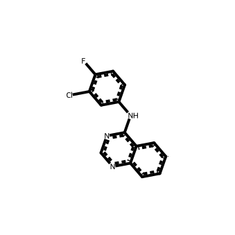 Fc1ccc(Nc2ncnc3cc[c]cc23)cc1Cl